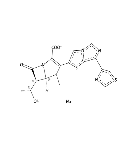 CC1C(c2cn3cnc(-c4cscn4)c3s2)=C(C(=O)[O-])N2C(=O)[C@H]([C@@H](C)O)[C@H]12.[Na+]